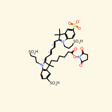 CC1(C)C(/C=C/C=C/C=C2/N(CCCS(=O)(=O)O)c3ccc(S(=O)(=O)O)cc3C2(C)CCCCCC(=O)ON2C(=O)CCC2=O)=[N+](CCCS(=O)(=O)O)c2ccc(S(=O)(=O)[O-])cc21